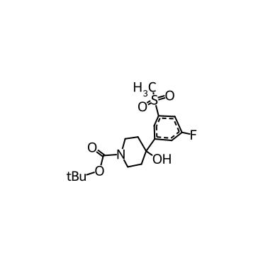 CC(C)(C)OC(=O)N1CCC(O)(c2cc(F)cc(S(C)(=O)=O)c2)CC1